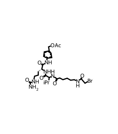 CC(=O)OCc1ccc(NC(=O)[C@@H](CCCNC(N)=O)NC(=O)C(NC(=O)CCCCCNC(=O)CBr)C(C)C)cc1